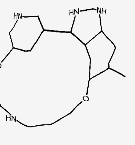 CC1CC2NNC3C4CNCC(C4)OCCNCCCOC1CC23